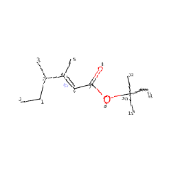 CCC(C)/C(C)=C/C(=O)OC(C)(C)C